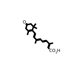 CC(C=CC1=C(C)CC(=O)CC1(C)C)=CC=CC(C)=CC(=O)O